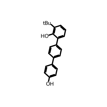 CC(C)(C)c1cccc(-c2ccc(-c3ccc(O)cc3)cc2)c1O